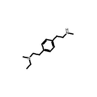 CCN(C)CCc1ccc(CCNC)cc1